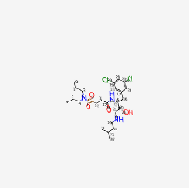 CCCN(CCC)S(=O)(=O)CCC(=O)N[C@@H](Cc1cc(Cl)cc(Cl)c1)[C@H](O)CNCCC(C)C